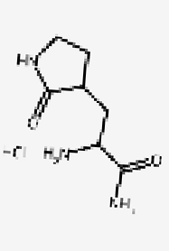 Cl.NC(=O)C(N)CC1CCNC1=O